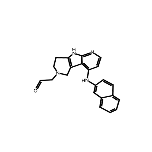 O=CCN1CCc2[nH]c3nccc(Nc4ccc5ccccc5c4)c3c2C1